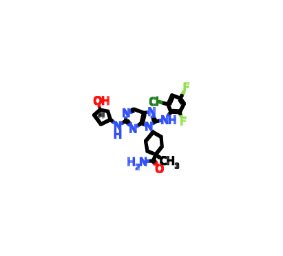 CC1(C(N)=O)CCC(n2c(Nc3c(F)cc(F)cc3Cl)nc3cnc(NC4CC[C@@H](O)C4)nc32)CC1